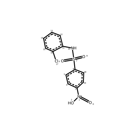 O=[N+](O)c1ccc(S(=O)(=O)Nc2ccccc2Cl)cc1